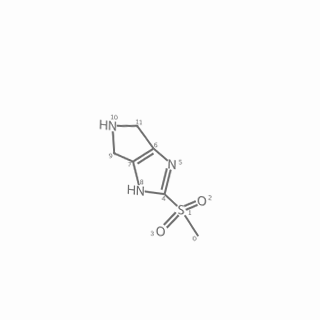 CS(=O)(=O)c1nc2c([nH]1)CNC2